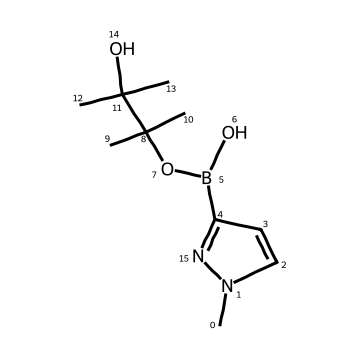 Cn1ccc(B(O)OC(C)(C)C(C)(C)O)n1